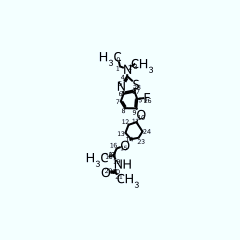 CCN(C)c1nc2ccc(O[C@H]3CC[C@H](OC[C@H](C)NC(C)=O)CC3)c(F)c2s1